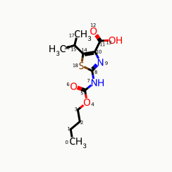 CCCCOC(=O)Nc1nc(C(=O)O)c(C(C)C)s1